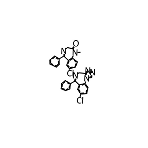 CN1C(=O)CN=C(c2ccccc2)c2cc(Cl)ccc21.Clc1ccc2c(c1)C(c1ccccc1)=NCc1nncn1-2